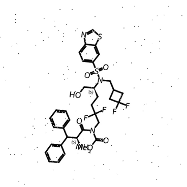 COC(=O)N(CC(F)(F)CC[C@@H](CO)N(CC1CC(F)(F)C1)S(=O)(=O)c1ccc2ncsc2c1)C(=O)[C@@H](N)C(c1ccccc1)c1ccccc1